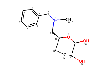 CN(Cc1ccccc1)C[C@@H]1CCC(O)C(O)O1